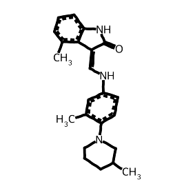 Cc1cc(NC=C2C(=O)Nc3cccc(C)c32)ccc1N1CCCC(C)C1